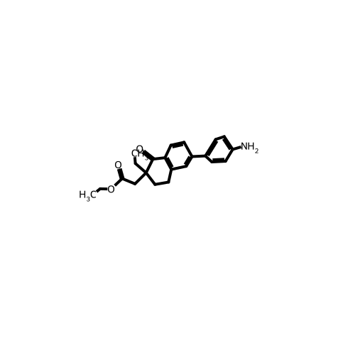 CCOC(=O)CC1(CC)CCc2cc(-c3ccc(N)cc3)ccc2C1=O